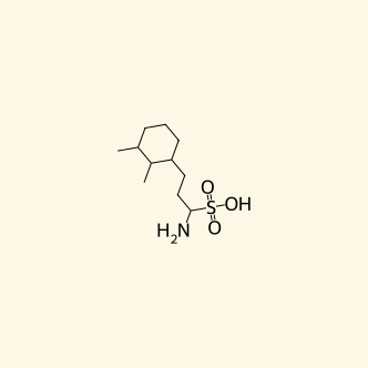 CC1CCCC(CCC(N)S(=O)(=O)O)C1C